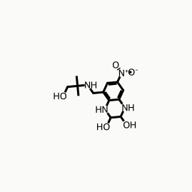 CC(C)(CO)NCc1cc([N+](=O)[O-])cc2c1NC(O)C(O)N2